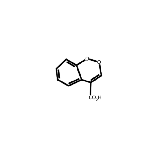 O=C(O)C1=COOc2ccccc21